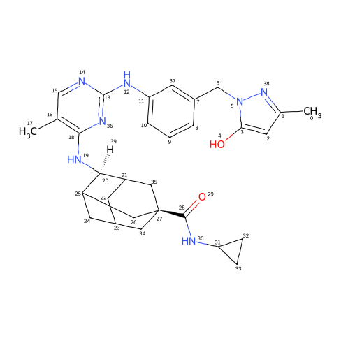 Cc1cc(O)n(Cc2cccc(Nc3ncc(C)c(N[C@H]4C5CC6CC4C[C@@](C(=O)NC4CC4)(C6)C5)n3)c2)n1